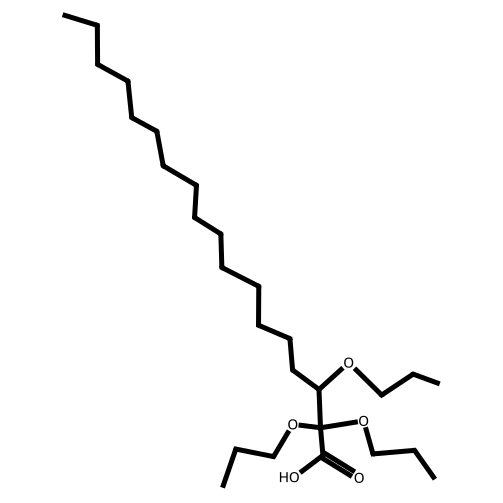 CCCCCCCCCCCCCCCC(OCCC)C(OCCC)(OCCC)C(=O)O